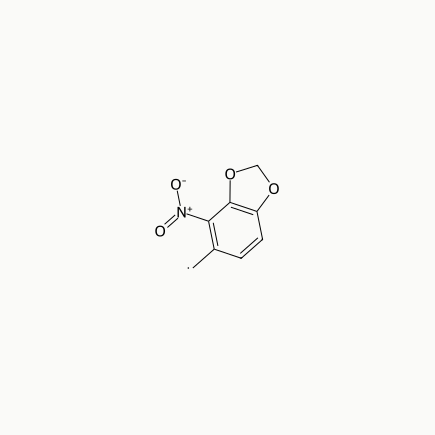 [CH2]c1ccc2c(c1[N+](=O)[O-])OCO2